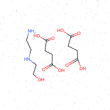 NCCNCCO.O=C(O)CCC(=O)O.O=C(O)CCC(=O)O